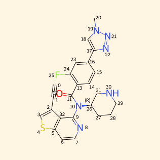 C#Cc1csc2ccnc(N(C(=O)c3ccc(-c4cn(C)nn4)cc3F)[C@@H]3CCCNC3)c12